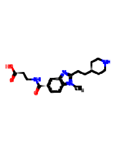 Cn1c(CCC2CCNCC2)nc2cc(C(=O)NCCC(=O)O)ccc21